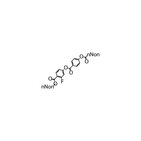 CCCCCCCCCOC(=O)c1ccc(OC(=O)c2ccc(OC(=O)CCCCCCCCC)cc2)cc1F